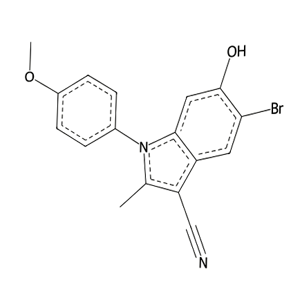 COc1ccc(-n2c(C)c(C#N)c3cc(Br)c(O)cc32)cc1